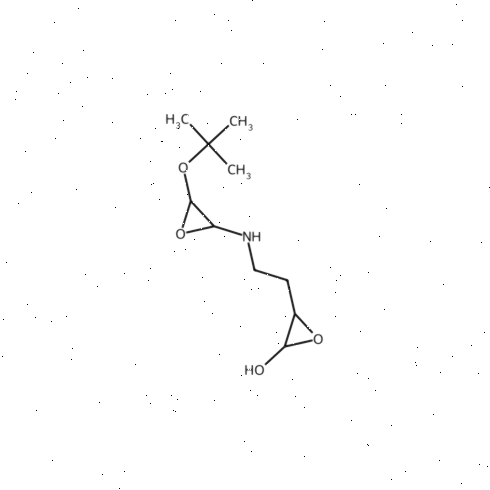 CC(C)(C)OC1OC1NCCC1OC1O